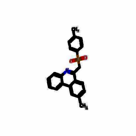 Cc1ccc(S(=O)(=O)Cc2nc3ccccc3c3cc(C)ccc23)cc1